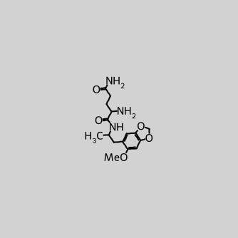 COc1cc2c(cc1CC(C)NC(=O)C(N)CCC(N)=O)OCO2